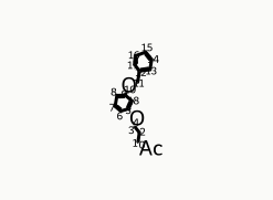 CC(=O)CCCOc1cccc(OCc2ccccc2)c1